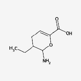 CCC1CC=C(C(=O)O)OC1N